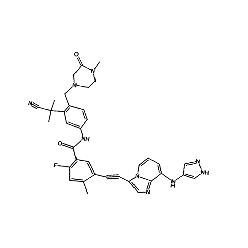 Cc1cc(F)c(C(=O)Nc2ccc(CN3CCN(C)C(=O)C3)c(C(C)(C)C#N)c2)cc1C#Cc1cnc2c(Nc3cn[nH]c3)cccn12